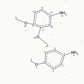 COc1ccc(N)cc1.COc1ccc(N)cc1OC